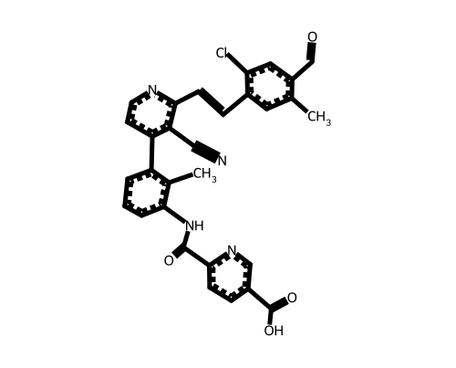 Cc1cc(C=Cc2nccc(-c3cccc(NC(=O)c4ccc(C(=O)O)cn4)c3C)c2C#N)c(Cl)cc1C=O